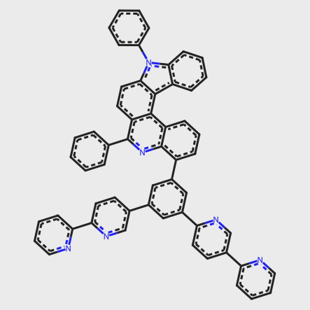 c1ccc(-c2nc3c(-c4cc(-c5ccc(-c6ccccn6)nc5)cc(-c5ccc(-c6ccccn6)cn5)c4)cccc3c3c2ccc2c3c3ccccc3n2-c2ccccc2)cc1